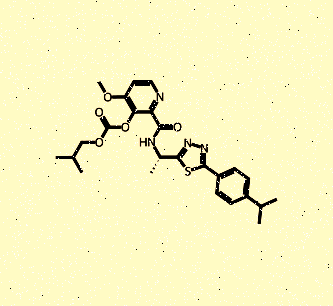 COc1ccnc(C(=O)N[C@@H](C)c2nnc(-c3ccc(C(C)C)cc3)s2)c1OC(=O)OCC(C)C